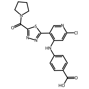 O=C(O)c1ccc(Nc2cc(Cl)ncc2-c2nnc(C(=O)N3CCCC3)s2)cc1